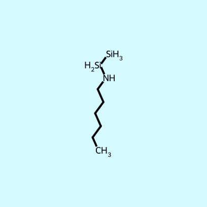 CCCCCCN[SiH2][SiH3]